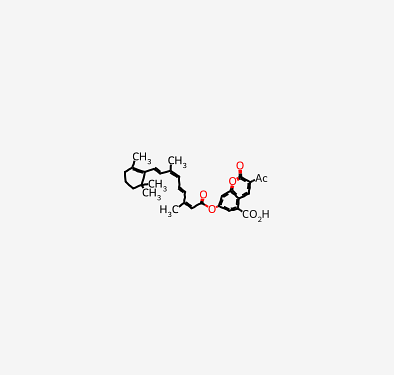 CC(=O)c1cc2c(C(=O)O)cc(OC(=O)C=C(C)C=CC=C(C)C=CC3=C(C)CCCC3(C)C)cc2oc1=O